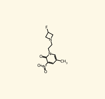 Cc1cc([N+](=O)[O-])c(=O)n(CCN2CC(F)C2)c1